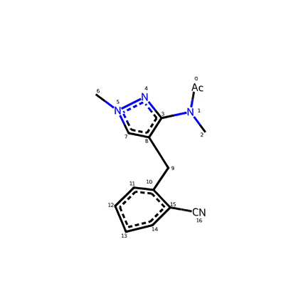 CC(=O)N(C)c1nn(C)cc1Cc1ccccc1C#N